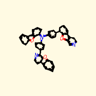 c1ccc2c(c1)oc1c(N(c3ccc(-c4cccc5c4oc4cnccc45)cc3)c3ccc(-c4nccc5c4oc4ccccc45)cc3)cccc12